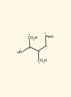 CCCC(C)CC(C(=O)O)C(CCC)C(=O)O